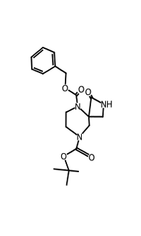 CC(C)(C)OC(=O)N1CCN(C(=O)OCc2ccccc2)C2(CNC2=O)C1